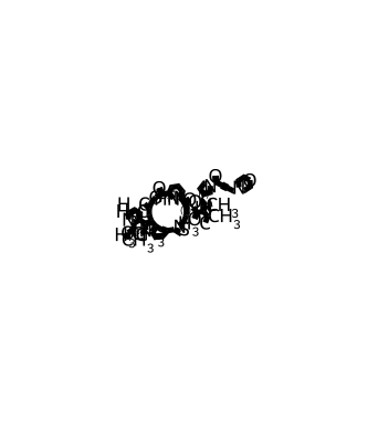 CO[C@@H](C)c1ncccc1-c1c2c3cc(ccc3n1C)-c1csc(n1)C[C@H](NC(=O)C(C(C)C)N(C)C(=O)[C@H]1CCN(C(=O)C#CCN3CCOCC3)C1)C(=O)N1CCC[C@H](N1)C(=O)OCC(C)(C)C2